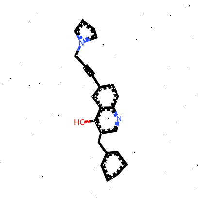 Oc1c(Cc2ccccc2)cnc2ccc(C#CCn3cccc3)cc12